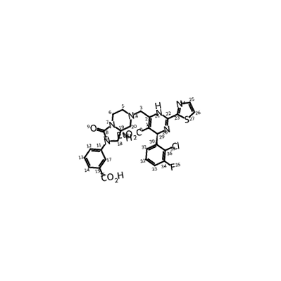 CCOC(=O)C1=C(CN2CCN3C(=O)N(c4cccc(C(=O)O)c4)C[C@@H]3C2)NC(c2nccs2)=N[C@H]1c1cccc(F)c1Cl